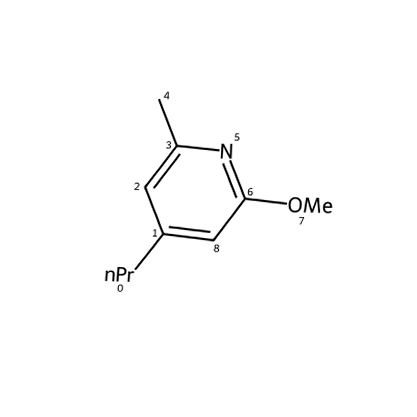 CCCc1cc(C)nc(OC)c1